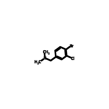 CN(C)Cc1ccc(Br)c(Cl)c1